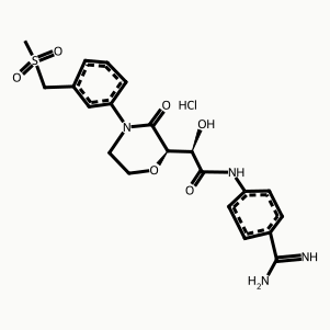 CS(=O)(=O)Cc1cccc(N2CCO[C@H]([C@@H](O)C(=O)Nc3ccc(C(=N)N)cc3)C2=O)c1.Cl